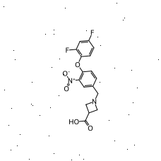 O=C(O)C1CN(Cc2ccc(Oc3ccc(F)cc3F)c([N+](=O)[O-])c2)C1